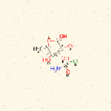 C[C@@H]1OC(O)[C@H](O)[C@H](O)[C@H]1O.NC(=O)CCl